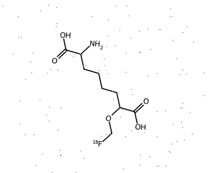 NC(CCCCC(OC[18F])C(=O)O)C(=O)O